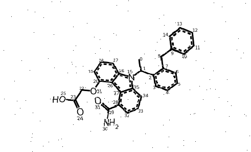 CC(c1ccccc1Cc1ccccc1)n1c2cccc(OCC(=O)O)c2c2c(C(N)=O)cccc21